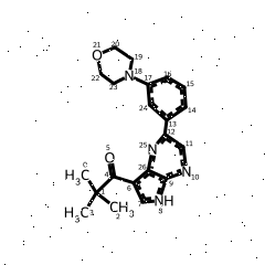 CC(C)(C)C(=O)c1c[nH]c2ncc(-c3cccc(N4CCOCC4)c3)nc12